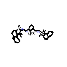 CN1/C(=C/C=C2\CCCC(/C=C/C3=[N+](C)c4ccc5ccccc5c4C3(C)C)=C2O)C(C)(C)c2c1ccc1ccccc21